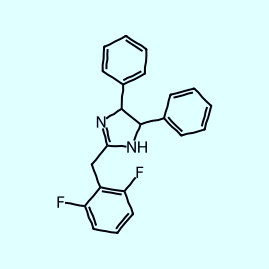 Fc1cccc(F)c1CC1=NC(c2ccccc2)C(c2ccccc2)N1